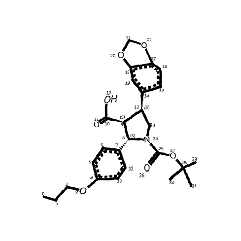 CCCOc1ccc([C@@H]2[C@@H](C(=O)O)[C@@H](c3ccc4c(c3)OCO4)CN2C(=O)OC(C)(C)C)cc1